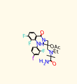 CCN(CC1(OC(C)=O)CN(C(=O)c2ccc(F)c(F)c2Nc2ccc(I)cc2F)C1)C(C)(C)C(N)=O